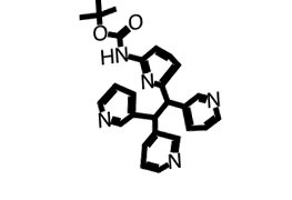 CC(C)(C)OC(=O)Nc1cccc(C(c2cccnc2)C(c2cccnc2)c2cccnc2)n1